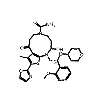 COc1ccccc1[C@H](CN1c2sc(-c3ncco3)c(C)c2C(=O)CCN(C(N)=O)CCC1O)OC1CCOCC1